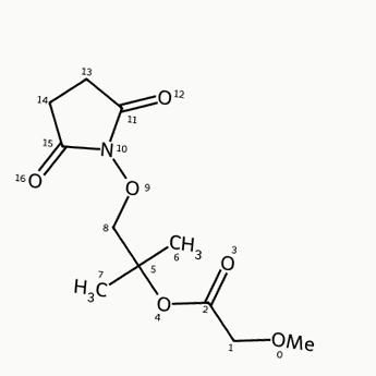 COCC(=O)OC(C)(C)CON1C(=O)CCC1=O